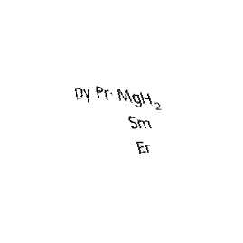 [Dy].[Er].[MgH2].[Pr].[Sm]